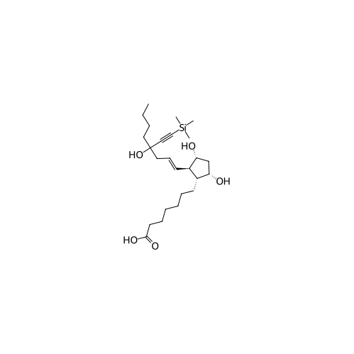 CCCCC(O)(C#C[Si](C)(C)C)CC=C[C@@H]1[C@@H](CCCCCCC(=O)O)[C@@H](O)C[C@H]1O